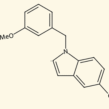 COc1cccc(Cn2[c]cc3cc(Cl)ccc32)c1